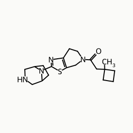 CC1(CC(=O)N2CCc3nc(N4C5CCC4CNC5)sc3C2)CCC1